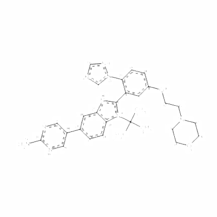 CC(C)(C)n1c(-c2cc(OCCN3CCOCC3)ccc2-n2cncn2)nc2cc(-c3cnc(N)nc3)ccc21